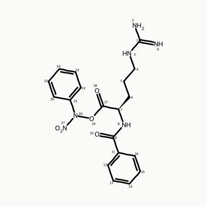 N=C(N)NCCC[C@@H](NC(=O)c1ccccc1)C(=O)ON(c1ccccc1)[N+](=O)[O-]